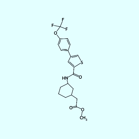 COC(=O)CC1CCCC(NC(=O)c2cc(-c3ccc(OC(F)(F)F)cc3)cs2)C1